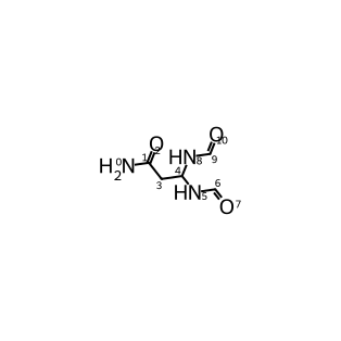 NC(=O)CC(NC=O)NC=O